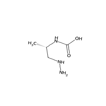 C[C@@H](CNN)NC(=O)O